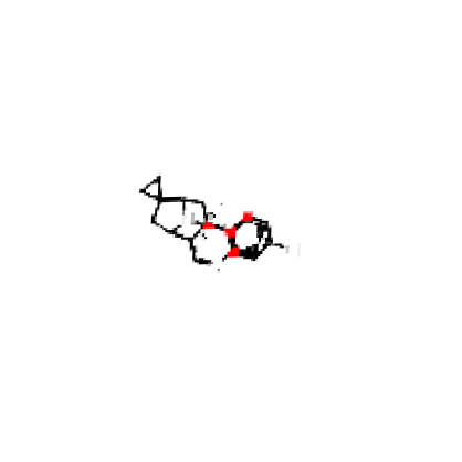 O=S(=O)(c1ccc(Cl)cc1)N1C2CC3(CC3)C1CC1C2C=Nc2ccnn21